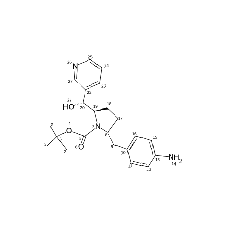 CC(C)(C)OC(=O)N1C(Cc2ccc(N)cc2)CC[C@@H]1[C@H](O)c1cccnc1